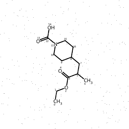 CCOC(=O)C(C)CC1CCN(C(=O)O)CC1